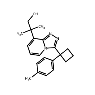 Cc1ccc(C2(c3nnc4c(C(C)(C)CO)cccn34)CCC2)cc1